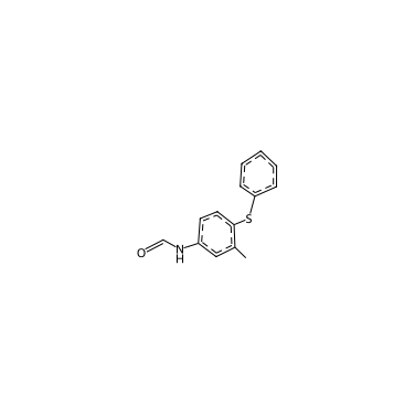 Cc1cc(NC=O)ccc1Sc1ccccc1